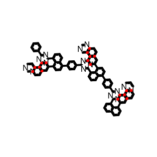 c1ccc(-c2nc(-c3ccc(-c4ccc(-c5ccc(-c6cncnc6)cc5)c5c(-c6nc(-c7ccccc7)nc(-c7ccc(-c8ccc(-c9ccc(-c%10ccncn%10)cc9)c9c(-c%10nc(-c%11ccccc%11)nc(-c%11ccccc%11)n%10)cccc89)cc7)n6)cccc45)cc3)nc(-c3cccc4cccc(-c5ccc(-c6ncccn6)cc5)c34)n2)cc1